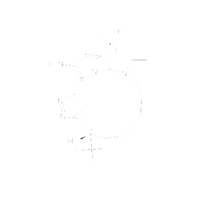 CC(C)N1CCCCCC[C@](O)(C(F)(F)F)c2nnc(o2)-c2nc1c(C(F)(F)F)cc2N